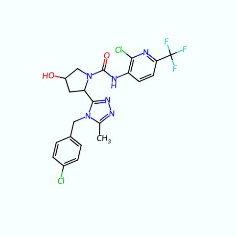 Cc1nnc(C2CC(O)CN2C(=O)Nc2ccc(C(F)(F)F)nc2Cl)n1Cc1ccc(Cl)cc1